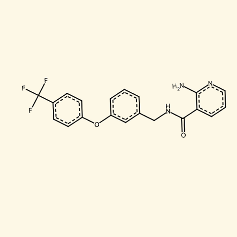 Nc1ncccc1C(=O)NCc1cccc(Oc2ccc(C(F)(F)F)cc2)c1